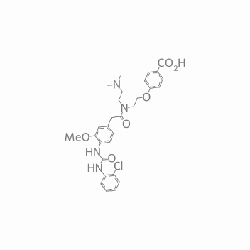 COc1cc(CC(=O)N(CCOc2ccc(C(=O)O)cc2)CCN(C)C)ccc1NC(=O)Nc1ccccc1Cl